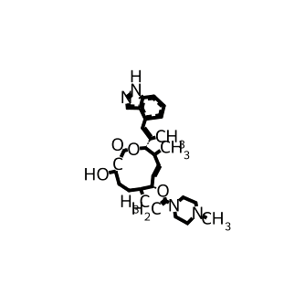 C=C(O[C@H]1/C=C/C(C)[C@@H](/C(C)=C/c2cccc3[nH]ncc23)OC(=O)CC(O)CCC1C)N1CCN(C)CC1